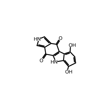 O=C1c2c[nH]cc2C(=O)c2c1[nH]c1c(O)ccc(O)c21